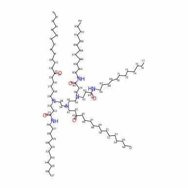 CCCCCCCCCCCCCC(=O)CCCCCN(CCC(=O)NCCCCCCCCCCCC)CCN(CCC(=O)CCCCCCCCCCCCC)CCN(CCC(=O)NCCCCCCCCCCCC)CCC(=O)NCCCCCCCCCCCC